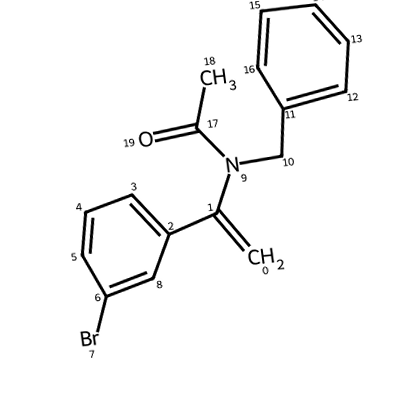 C=C(c1cccc(Br)c1)N(Cc1ccccc1)C(C)=O